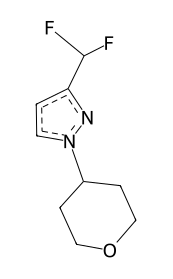 FC(F)c1ccn(C2CCOCC2)n1